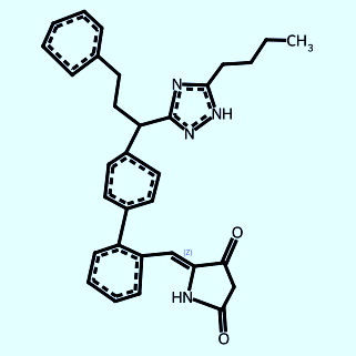 CCCCc1nc(C(CCc2ccccc2)c2ccc(-c3ccccc3/C=C3\NC(=O)CC3=O)cc2)n[nH]1